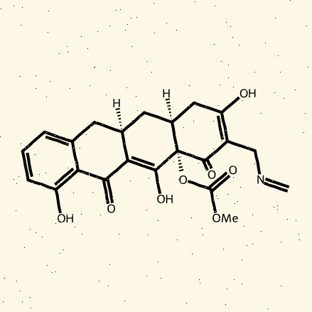 C=NCC1=C(O)C[C@@H]2C[C@@H]3Cc4cccc(O)c4C(=O)C3=C(O)[C@]2(OC(=O)OC)C1=O